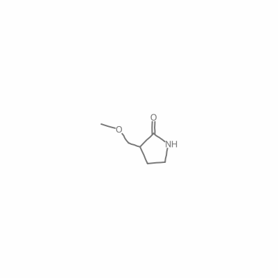 COCC1CCNC1=O